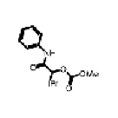 COC(=O)OC(C(=O)Nc1ccccc1)C(C)C